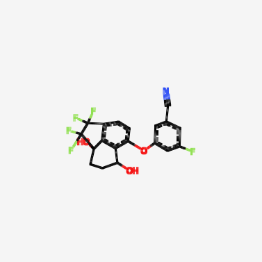 N#Cc1cc(F)cc(Oc2ccc3c4c2C(O)CCC4(O)C(F)(F)C3(F)F)c1